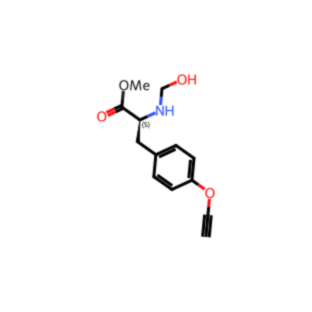 C#COc1ccc(C[C@H](NCO)C(=O)OC)cc1